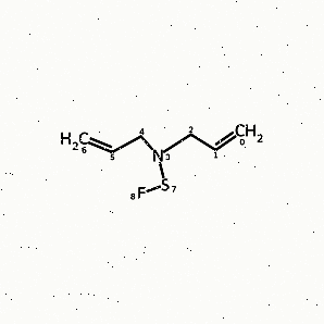 C=CCN(CC=C)SF